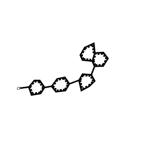 Clc1ccc(-c2ccc(-c3cccc(-c4cccc5ccccc45)c3)cc2)cc1